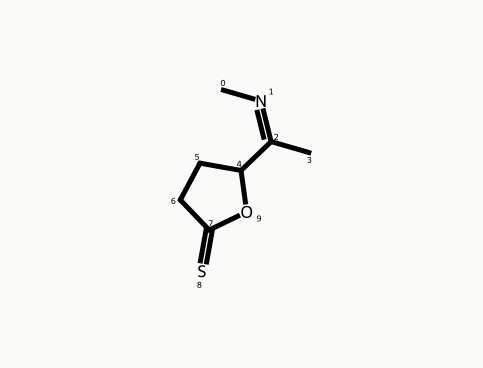 C/N=C(/C)C1CCC(=S)O1